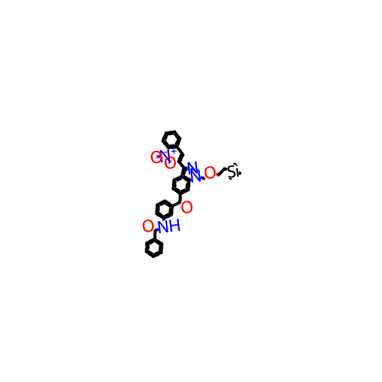 C[Si](C)(C)CCOCn1nc(C=Cc2ccccc2[N+](=O)[O-])c2ccc(C(=O)c3cccc(NC(=O)c4ccccc4)c3)cc21